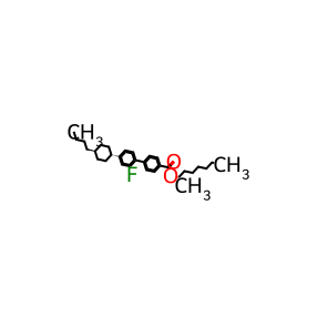 CCCCCCC(C)OC(=O)c1ccc(-c2ccc([C@H]3CC[C@H](CCCC)CC3)cc2F)cc1